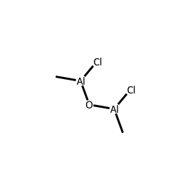 [CH3][Al]([Cl])[O][Al]([CH3])[Cl]